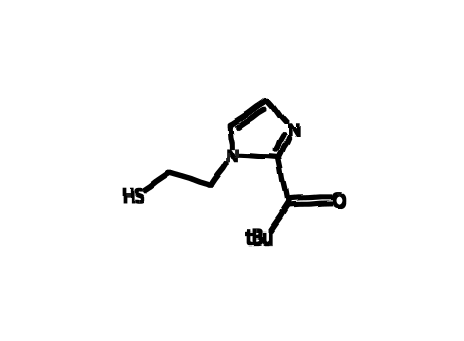 CC(C)(C)C(=O)c1nccn1CCS